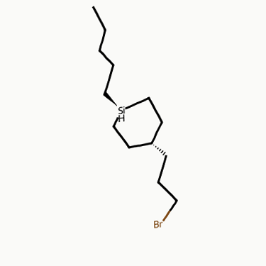 CCCCC[Si@H]1CC[C@H](CCCBr)CC1